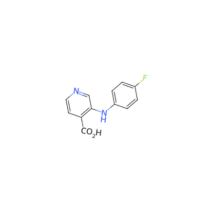 O=C(O)c1ccncc1Nc1ccc(F)cc1